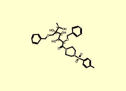 Cc1ccc(S(=O)(=O)N2CCN(C(=O)[C@H](OCc3ccccc3)[C@@H](O)[C@H](O)[C@@](O)(COCc3ccccc3)[C@@H](C)O)CC2)cc1